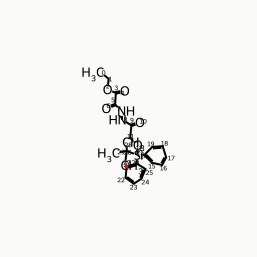 CCOC(=O)C(=O)NNC(=O)CO[Si](c1ccccc1)(c1ccccc1)C(C)(C)C